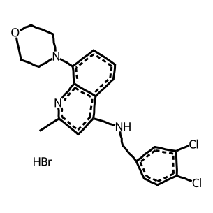 Br.Cc1cc(NCc2ccc(Cl)c(Cl)c2)c2cccc(N3CCOCC3)c2n1